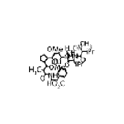 CCC(C)C(C(CC(=O)C1CCCC1C(OC)C(C)C(=O)NC(Cc1ccccc1)C(=O)O)OC)N(C)C(=O)C(NC(=O)C(C(C)C)N(C)C)C(C)C